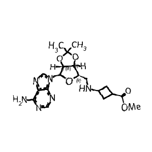 COC(=O)C1CC(NC[C@H]2OC(n3cnc4c(N)ncnc43)[C@@H]3OC(C)(C)O[C@H]23)C1